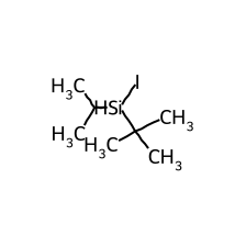 CC(C)[SiH](I)C(C)(C)C